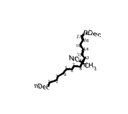 CCCCCCCCCCCCCCCCCCC(C)(C#N)CCCCCCCCCCCCCCCC